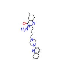 CC1CCc2nc(CCCCN3CCN(c4ccc5ccccc5n4)CC3)n(N)c(=O)c2C1